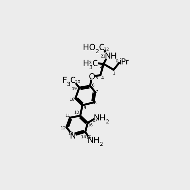 CC(C)CC(C)(COc1ccc(-c2ccnc(N)c2N)cc1C(F)(F)F)NC(=O)O